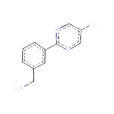 Cc1cnc(-c2cccc(CN)c2)nc1